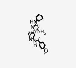 COc1ccc([C@H](C)Nc2cc(-n3nc(Nc4ccccc4)nc3N)ncn2)cc1